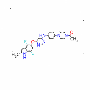 CC(=O)N1CCN(c2ccc(Nc3cc(Oc4cc(F)c5[nH]c(C)cc5c4F)ncn3)cc2)CC1